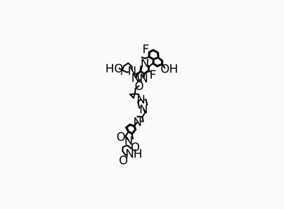 CCc1c(F)ccc2cc(O)cc(-c3ncc4c(N5CCC[C@@](C)(O)C5)nc(OCC5(CN6CCN(CC7CN(c8ccc9c(c8)CN(C8CCC(=O)NC8=O)C9=O)C7)CC6)CC5)nc4c3F)c12